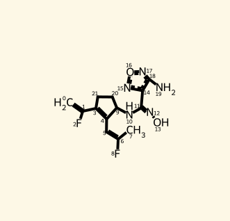 C=C(F)C1=C(/C=C(\C)F)C(N/C(=N\O)c2nonc2N)CC1